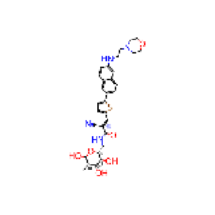 C[C@H]1C(O)O[C@H](CNC(=O)/C(C#N)=C/c2ccc(-c3ccc4cc(NCCN5CCOCC5)ccc4c3)s2)[C@@H](O)[C@@H]1O